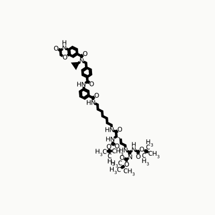 CC(C)(C)OC(=O)/N=C(\NCCC[C@H](NC(=O)OC(C)(C)C)C(=O)NCCCCCCCNC(=O)c1cccc(NC(=O)c2ccc(CN(C(=O)c3ccc4c(c3)OCC(=O)N4)C3CC3)cc2)c1)NC(=O)OC(C)(C)C